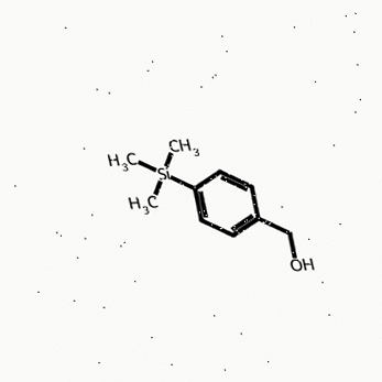 C[Si](C)(C)c1ccc(CO)cc1